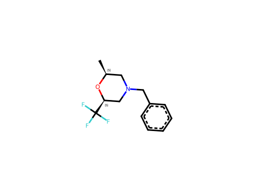 C[C@H]1CN(Cc2ccccc2)C[C@@H](C(F)(F)F)O1